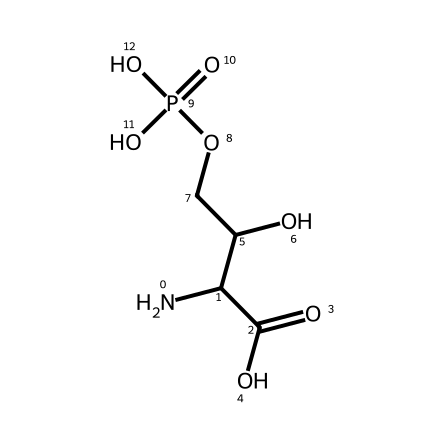 NC(C(=O)O)C(O)COP(=O)(O)O